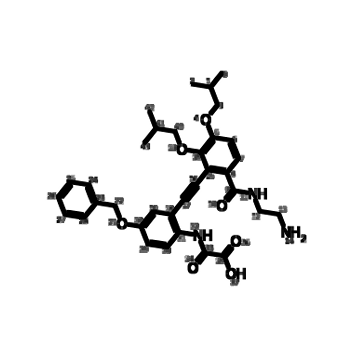 CC(C)COc1ccc(C(=O)NCCN)c(C#Cc2cc(OCc3ccccc3)ccc2NC(=O)C(=O)O)c1OCC(C)C